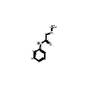 CC(C)(C)SCC(=O)Nc1ccccc1